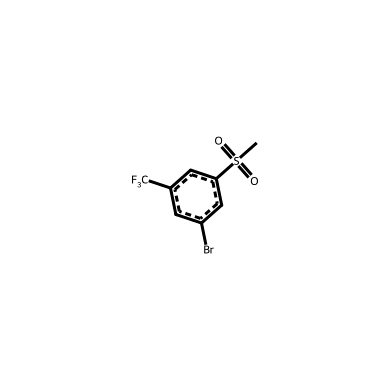 CS(=O)(=O)c1cc(Br)cc(C(F)(F)F)c1